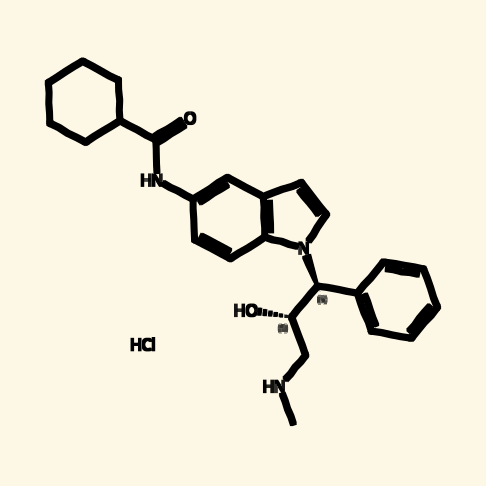 CNC[C@H](O)[C@H](c1ccccc1)n1ccc2cc(NC(=O)C3CCCCC3)ccc21.Cl